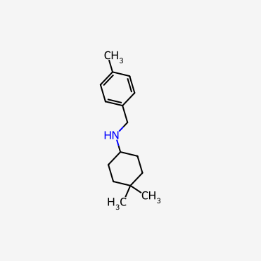 Cc1ccc(CNC2CCC(C)(C)CC2)cc1